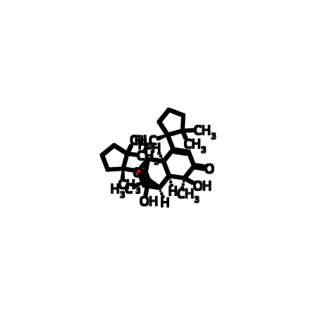 CC1(C)CCC[C@@]1(C)C1=C[C@@H]2[C@H]3[C@H](C([C@]4(C)CCCC4(C)C)=CC(=O)[C@@]3(C)O)[C@H]1C(=O)[C@@]2(C)O